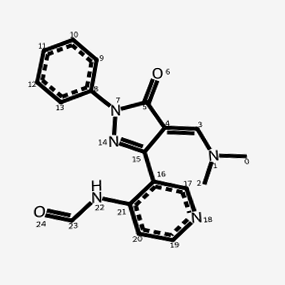 CN(C)/C=C1/C(=O)N(c2ccccc2)N=C1c1cnccc1NC=O